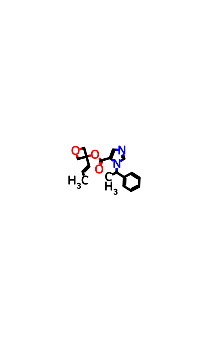 C/C=C/C1(OC(=O)c2cncn2C(C)c2ccccc2)COC1